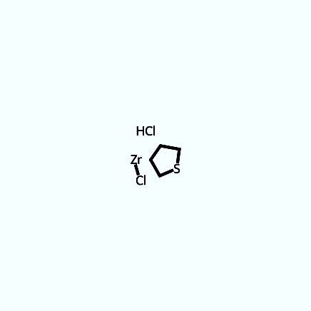 C1CCSC1.Cl.[Cl][Zr]